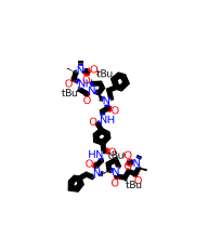 C[C@@H](C(=O)C[C@H](C(=O)N1CCC[C@H]1CN(CCc1ccccc1)C(=O)CNC(=O)c1ccc(C(=O)NCC(=O)N(CCc2ccccc2)C[C@@H]2CCCN2C(=O)[C@@H](NC(=O)[C@H](C)N(C)C(=O)OC(C)(C)C)C(C)(C)C)cc1)C(C)(C)C)N(C)C(=O)OC(C)(C)C